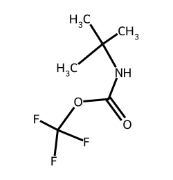 CC(C)(C)NC(=O)OC(F)(F)F